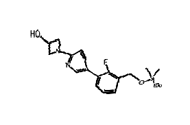 CC(C)(C)[Si](C)(C)OCc1cccc(-c2ccc(N3CC(O)C3)nc2)c1F